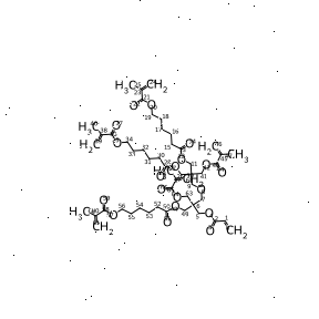 C=CC(=O)OCC(COCC(COC(=O)CCCCCOC(=O)C(=C)C)(COC(=O)CCCCCOC(=O)C(=C)C)COC(=O)C(=C)C)(COC(=O)CCCCCOC(=O)C(=C)C)COC(=O)C(=C)C